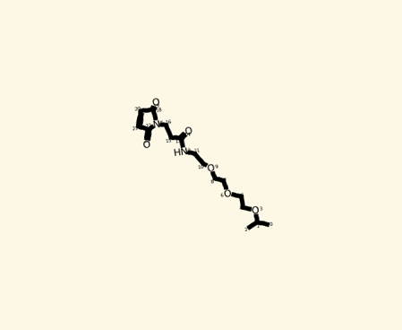 CC(C)OCCOCCOCCNC(=O)CCN1C(=O)C=CC1=O